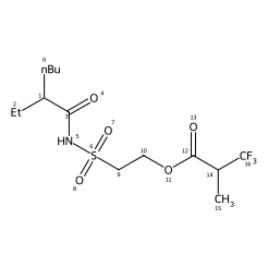 CCCCC(CC)C(=O)NS(=O)(=O)CCOC(=O)C(C)C(F)(F)F